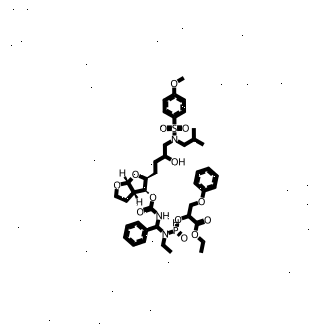 CCOC(=O)C(COc1ccccc1)O[PH](=O)N(CC)C(NC(=O)O[C@@H]1[C@@H]2CCO[C@@H]2O[C@H]1CCC(O)CN(CC(C)C)S(=O)(=O)c1ccc(OC)cc1)c1ccccc1